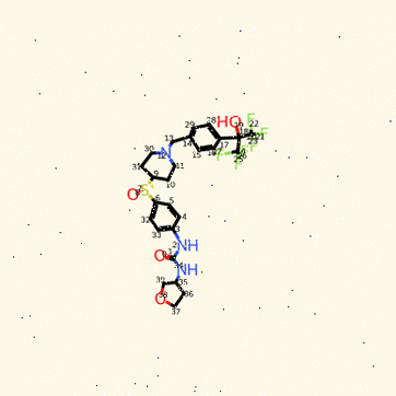 O=C(Nc1ccc([S+]([O-])C2CCN(Cc3ccc(C(O)(C(F)(F)F)C(F)(F)F)cc3)CC2)cc1)NC1CCOC1